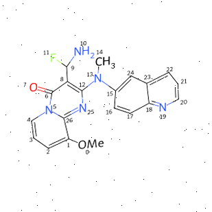 COc1cccn2c(=O)c(C(N)F)c(N(C)c3ccc4ncccc4c3)nc12